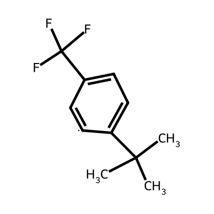 CC(C)(C)c1[c]cc(C(F)(F)F)cc1